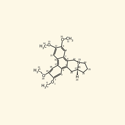 COc1cc2c3c(c4cc(OC)c(OC)cc4c2cc1OC)CN1CCC[C@@H]1C3